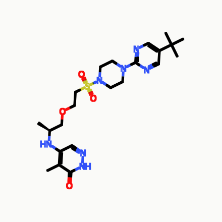 Cc1c(N[C@@H](C)COCCS(=O)(=O)N2CCN(c3ncc(C(C)(C)C)cn3)CC2)cn[nH]c1=O